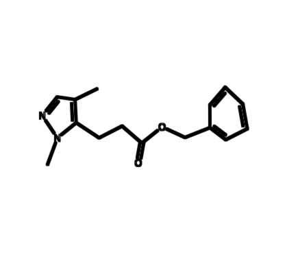 Cc1cnn(C)c1CCC(=O)OCc1ccccc1